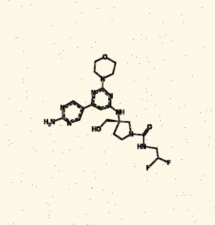 Nc1ncc(-c2cc(N[C@@]3(CO)CCN(C(=O)NCC(F)F)C3)nc(N3CCOCC3)n2)cn1